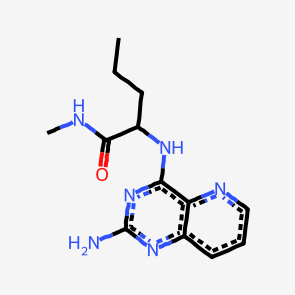 CCCC(Nc1nc(N)nc2cccnc12)C(=O)NC